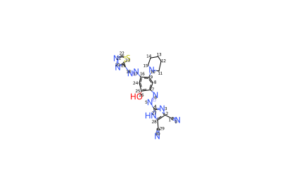 N#Cc1nc(/N=N/c2cc(N3CCCCC3)c(/N=N/c3nncs3)cc2O)[nH]c1C#N